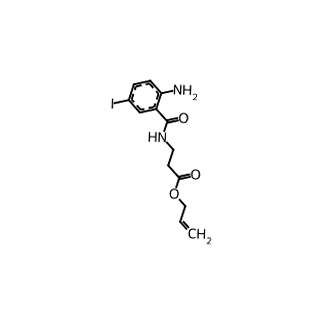 C=CCOC(=O)CCNC(=O)c1cc(I)ccc1N